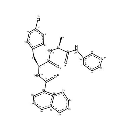 C[C@H](NC(=O)[C@H](Cc1ccc(Cl)cc1)NC(=O)c1cccc2ccccc12)C(=O)Nc1cccnc1